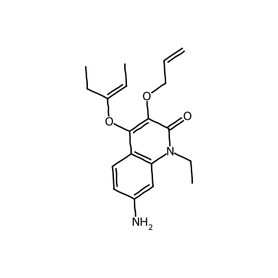 C=CCOc1c(OC(=CC)CC)c2ccc(N)cc2n(CC)c1=O